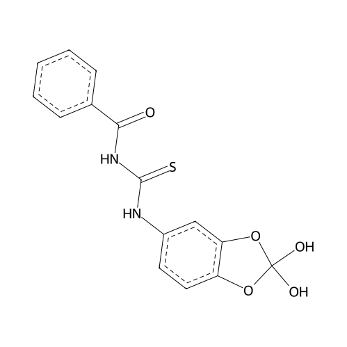 O=C(NC(=S)Nc1ccc2c(c1)OC(O)(O)O2)c1ccccc1